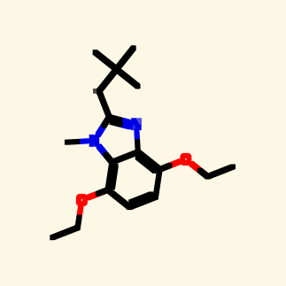 CCOc1ccc(OCC)c2c1nc([CH]C(C)(C)C)n2C